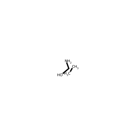 CC.NCO